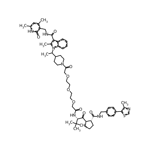 Cc1cc(C)c(CNC(=O)c2c(C)n(C(C)C3CCN(C(=O)COCCOCCOCC(=O)N[C@H](C(=O)C4CCC[C@H]4C(=O)NCc4ccc(-c5scnc5C)cc4)C(C)(C)C)CC3)c3ccccc23)c(=O)[nH]1